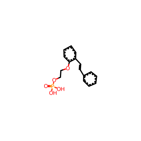 O=P(O)(O)OCCOc1ccccc1C=Cc1ccccc1